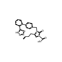 C=CCCc1cn(C(=O)CCC)c(=O)n1Cc1ccc(-c2ccccc2-c2nnn[nH]2)cc1